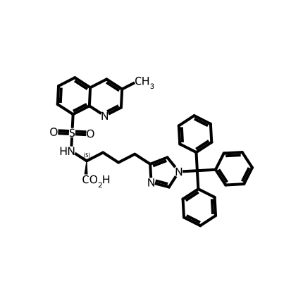 Cc1cnc2c(S(=O)(=O)N[C@@H](CCCc3cn(C(c4ccccc4)(c4ccccc4)c4ccccc4)cn3)C(=O)O)cccc2c1